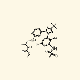 COC(=O)NC(C)CNc1nccc(-c2sc(C(C)(C)C)nc2-c2cc(F)cc(NS(C)(=O)=O)c2Cl)n1